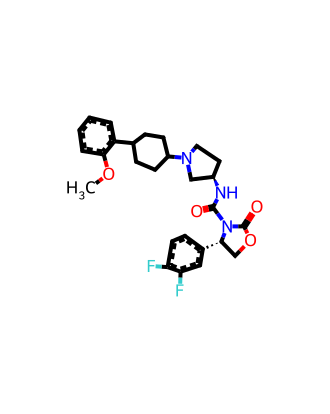 COc1ccccc1C1CCC(N2CC[C@@H](NC(=O)N3C(=O)OC[C@@H]3c3ccc(F)c(F)c3)C2)CC1